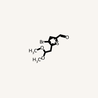 COC(Cc1sc(C=O)cc1Br)OC